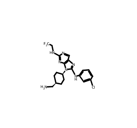 NC[C@H]1CC[C@@H](n2c(Nc3cccc(Cl)c3)nc3cnc(NCC(F)(F)F)nc32)CC1